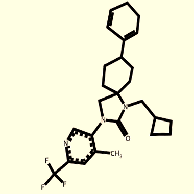 Cc1cc(C(F)(F)F)ncc1N1CC2(CCC(C3=CCCC=C3)CC2)N(CC2CCC2)C1=O